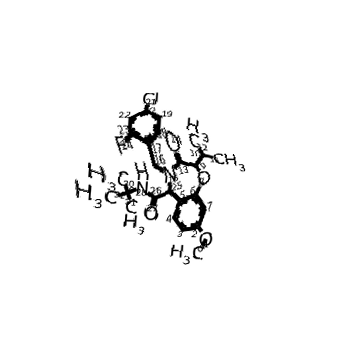 COc1ccc2c(c1)OC(C(C)C)C(=O)N(Cc1ccc(Cl)cc1F)C2C(=O)NC(C)(C)C